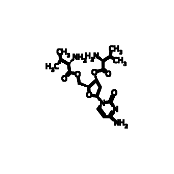 CC(C)[C@H](N)C(=O)OC[C@@H]1O[C@H](n2ccc(N)nc2=O)C[C@H]1OC(=O)[C@@H](N)C(C)C